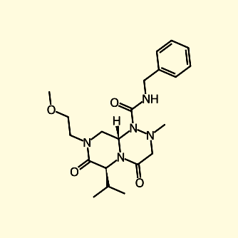 COCCN1C[C@H]2N(C(=O)CN(C)N2C(=O)NCc2ccccc2)[C@@H](C(C)C)C1=O